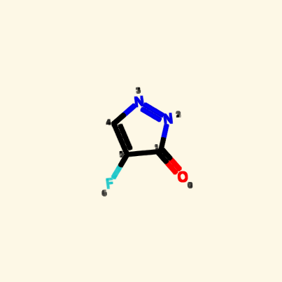 O=C1N=NC=C1F